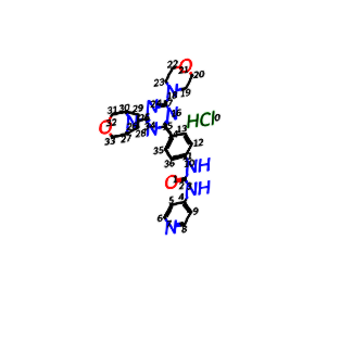 Cl.O=C(Nc1ccncc1)Nc1ccc(-c2nc(N3CCOCC3)nc(N3C4CCC3COC4)n2)cc1